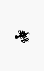 C#CCN1CC(=O)N2[C@@H](CC(C)C)C(=O)N(CCC(c3ccccc3)c3ccccc3)C[C@@H]2N1C(=O)NCc1ccccc1